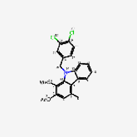 CSc1c(OC(C)=O)cc(C)c2c3ccccc3n(Cc3ccc(Cl)c(Cl)c3)c12